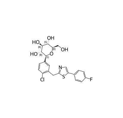 OC[C@H]1O[C@@H](c2ccc(Cl)c(Cc3ncc(-c4ccc(F)cc4)s3)c2)[C@H](O)[C@@H](O)[C@@H]1O